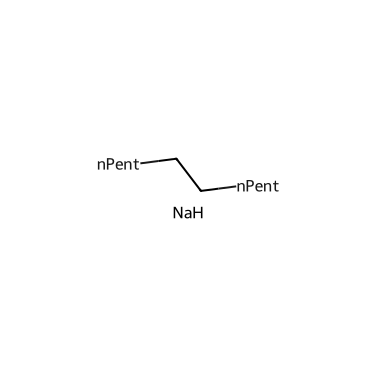 CCC[CH]CCCCCCCC.[NaH]